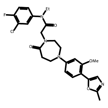 CCN(C(=O)CN1CCN(c2ccc(-c3cnc(C)o3)c(OC)c2)CCC1=O)c1ccc(F)c(Cl)c1